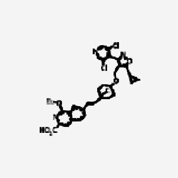 CCOc1nc(C(=O)O)cc2ccc(C=CC34CCC(OCc5c(-c6c(Cl)cncc6Cl)noc5C5CC5)(CC3)CC4)cc12